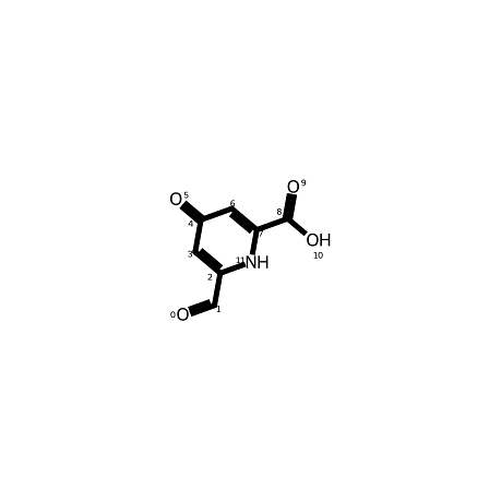 O=Cc1cc(=O)cc(C(=O)O)[nH]1